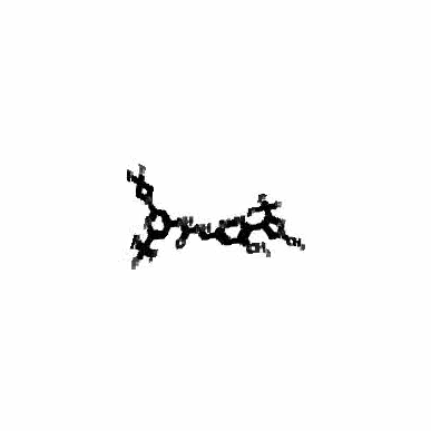 Cc1cc(CNC(=O)Nc2cc(N3CC(F)(F)C3)nc(C(F)(F)F)c2)nnc1-c1cn(C)nc1C(F)(F)F